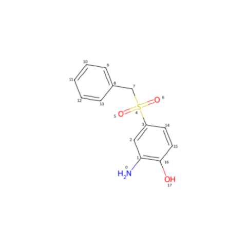 Nc1cc(S(=O)(=O)Cc2ccccc2)ccc1O